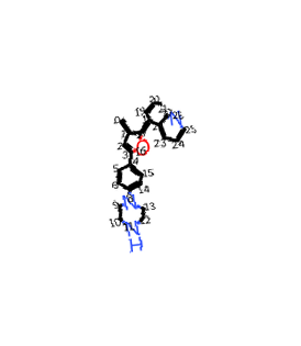 C=c1cc(-c2ccc(N3CCNCC3)cc2)o/c1=C(/C=C\C)c1cccnc1